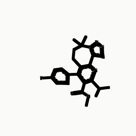 COC(=O)c1c(C(C)C)nc2c(c1-c1ccc(F)cc1)CCC(C)(C)n1nnnc1-2